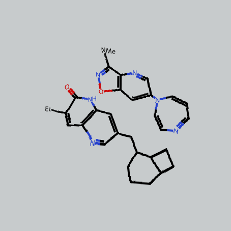 CCc1cc2ncc(CC3CCCC4CCC43)cc2[nH]c1=O.CNc1noc2cc(N3C=CC=NC=C3)cnc12